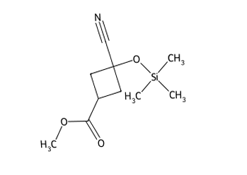 COC(=O)C1CC(C#N)(O[Si](C)(C)C)C1